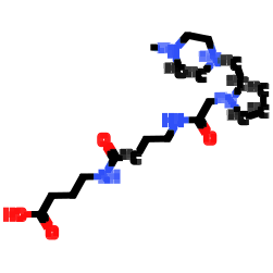 C[15N]1CC[15N]([13CH2][13CH]2[13CH2][13CH2][13CH2][15N]2CC(=O)NCC[13CH2]C(=O)NCCCC(=O)O)[13CH2][13CH2]1